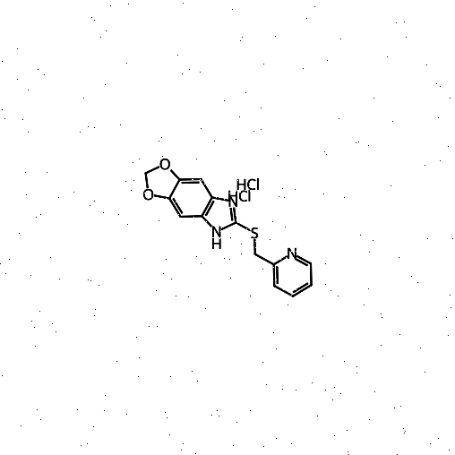 Cl.Cl.c1ccc(CSc2nc3cc4c(cc3[nH]2)OCO4)nc1